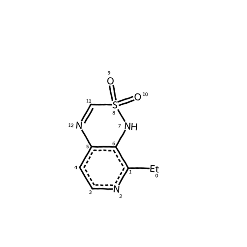 CCc1nccc2c1NS(=O)(=O)C=N2